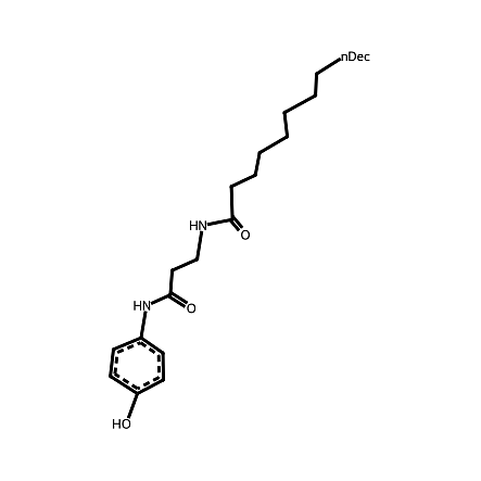 CCCCCCCCCCCCCCCCCC(=O)NCCC(=O)Nc1ccc(O)cc1